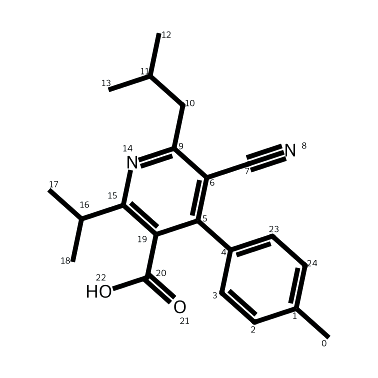 Cc1ccc(-c2c(C#N)c(CC(C)C)nc(C(C)C)c2C(=O)O)cc1